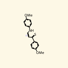 COc1ccc(N/C=C\C(=S)c2ccc(OC)cc2)cc1